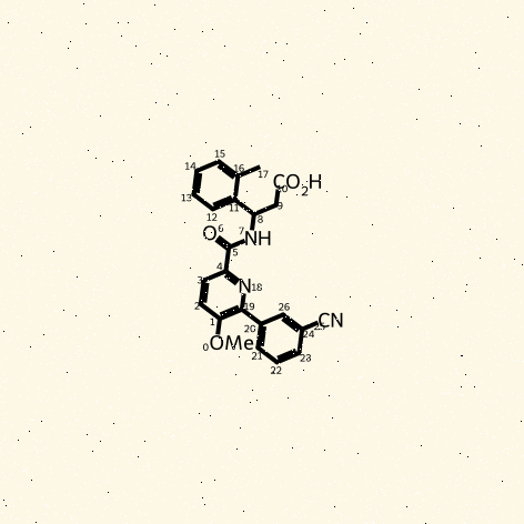 COc1ccc(C(=O)NC(CC(=O)O)c2ccccc2C)nc1-c1cccc(C#N)c1